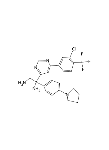 NCC(N)(c1ccc(N2CCCC2)cc1)c1cc(-c2ccc(C(F)(F)F)c(Cl)c2)ncn1